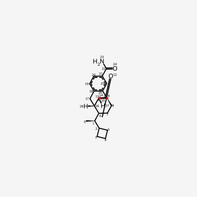 C[C@H](C1CCC1)C1CC[C@]23CC(=O)CC[C@H]2[C@H]1Cc1ccc(C(N)=O)cc13